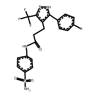 NS(=O)(=O)c1ccc(NC(=O)CCc2c(C(F)(F)F)n[nH]c2-c2ccc(F)cc2)cc1